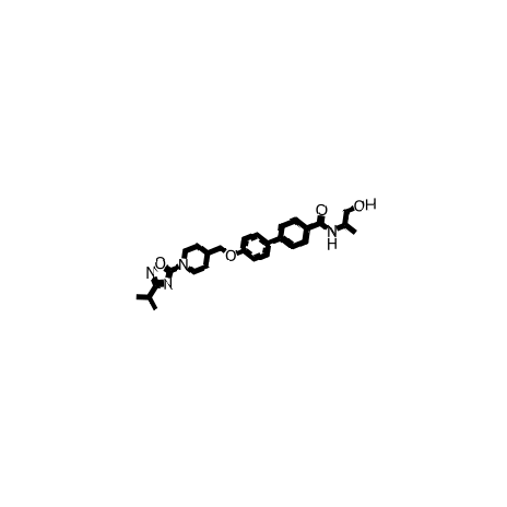 CC(CO)NC(=O)C1CC=C(c2ccc(OCC3CCN(c4nc(C(C)C)no4)CC3)cc2)CC1